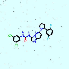 O=C(Nc1cc(Cl)cc(Cl)c1)Nc1cnc2ccc(N3CCCC3c3cc(F)ccc3F)nn12